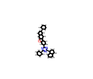 c1ccc(-c2ccc3cc4oc5cc(-c6nc(-c7ccccc7)nc(-c7cccc8ccccc78)n6)ccc5c4cc3c2)cc1